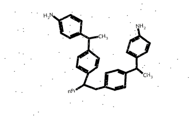 CCCC(Cc1ccc(C(C)c2ccc(N)cc2)cc1)c1ccc(C(C)c2ccc(N)cc2)cc1